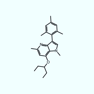 CCC(CC)Oc1cc(C)nc2c(-c3c(C)cc(C)cc3C)cn(C)c12